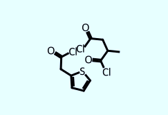 CC(CC(=O)Cl)C(=O)Cl.O=C(Cl)Cc1cccs1